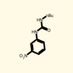 CCCCNC(=O)Nc1cccc([N+](=O)[O-])c1